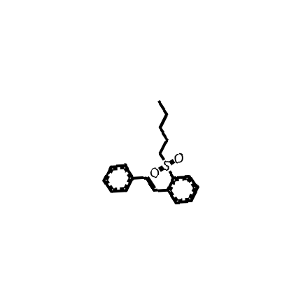 CCCCCS(=O)(=O)c1ccccc1C=Cc1ccccc1